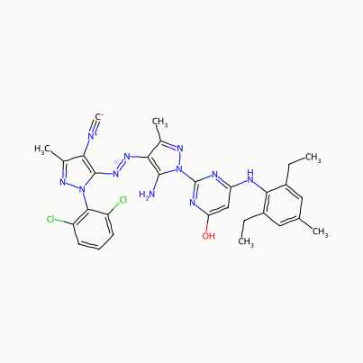 [C-]#[N+]c1c(C)nn(-c2c(Cl)cccc2Cl)c1/N=N/c1c(C)nn(-c2nc(O)cc(Nc3c(CC)cc(C)cc3CC)n2)c1N